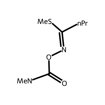 CCCC(=NOC(=O)NC)SC